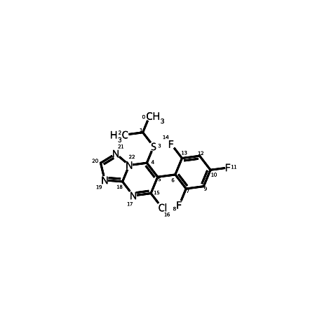 CC(C)Sc1c(-c2c(F)cc(F)cc2F)c(Cl)nc2ncnn12